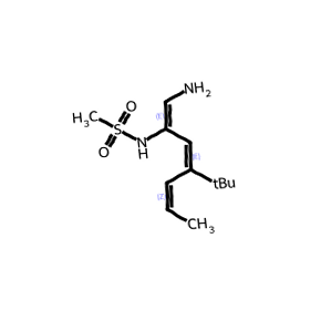 C\C=C/C(=C\C(=C/N)NS(C)(=O)=O)C(C)(C)C